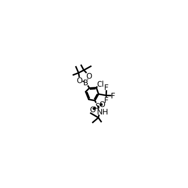 CC(C)(C)NS(=O)(=O)c1ccc(B2OC(C)(C)C(C)(C)O2)c(Cl)c1C(F)(F)F